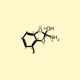 Cc1cccc2c1OC(N)(O)O2